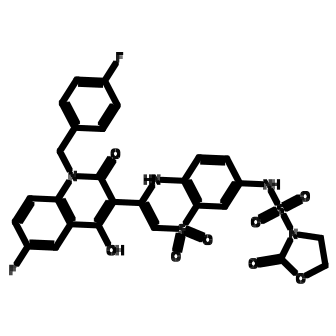 O=C1OCCN1S(=O)(=O)Nc1ccc2c(c1)S(=O)(=O)C=C(c1c(O)c3cc(F)ccc3n(Cc3ccc(F)cc3)c1=O)N2